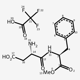 COC(=O)[C@H](Cc1ccccc1)NC(=O)[C@@H](N)CC(=O)O.O=C(O)C(F)(F)F